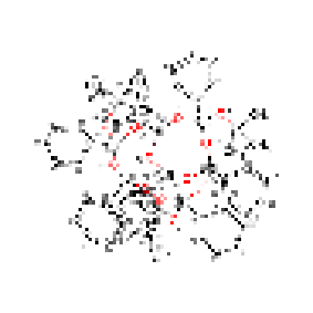 C[Si](C)(C)O[Si]1(c2ccccc2)O[Si]2(c3ccccc3)O[Si](O[Si](C)(C)C)(c3ccccc3)O[Si]3(c4ccccc4)O[Si](O[Si](C)(C)C)(c4ccccc4)O[Si](c4ccccc4)(O1)O[Si](c1ccccc1)(O2)O3